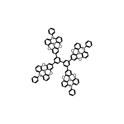 c1ccc(N2c3cccc4c3B3c5c(cc(-c6cc(-c7cc(-c8cc9c%10c(c8)Oc8cccc%11c8B%10c8c(cccc8N%11c8ccccc8)O9)cc(-c8cc9c%10c(c8)Oc8cccc%11c8B%10c8c(cccc8N%11c8ccccc8)O9)c7)cc(-c7cc8c9c(c7)Oc7cccc%10c7B9c7c(cccc7N%10c7ccccc7)O8)c6)cc5Oc5cccc2c53)O4)cc1